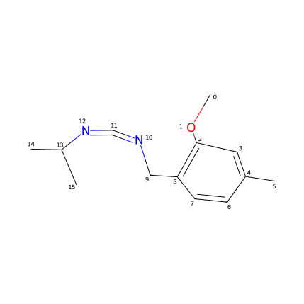 COc1cc(C)ccc1CN=C=NC(C)C